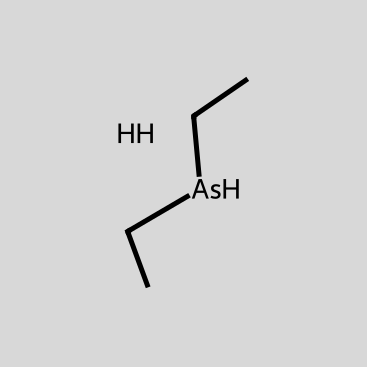 CC[AsH]CC.[HH]